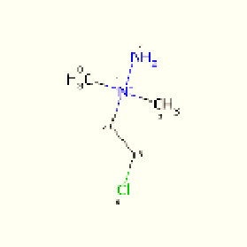 C[N+](C)(N)CCCl